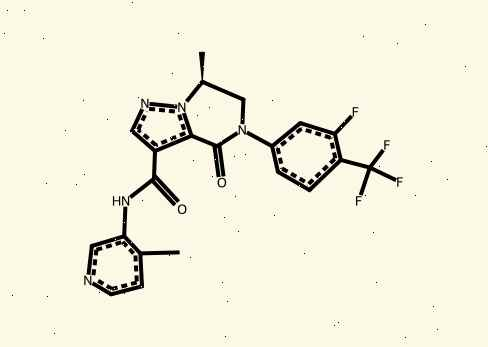 Cc1ccncc1NC(=O)c1cnn2c1C(=O)N(c1ccc(C(F)(F)F)c(F)c1)C[C@@H]2C